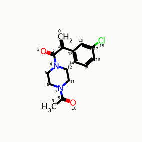 C=C(C(=O)N1CCN(C(C)=O)CC1)c1cc[c]c(Cl)c1